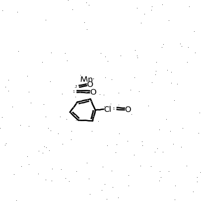 Clc1ccccc1.[C]=O.[C]=O.[C]=O.[Mn]